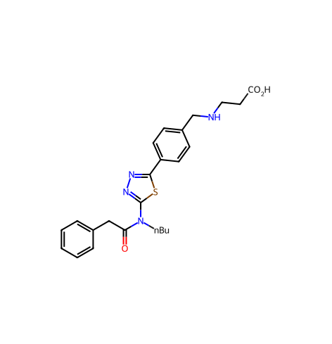 CCCCN(C(=O)Cc1ccccc1)c1nnc(-c2ccc(CNCCC(=O)O)cc2)s1